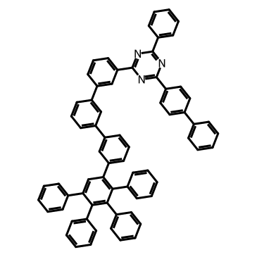 c1ccc(-c2ccc(-c3nc(-c4ccccc4)nc(-c4cccc(-c5cccc(-c6cccc(-c7cc(-c8ccccc8)c(-c8ccccc8)c(-c8ccccc8)c7-c7ccccc7)c6)c5)c4)n3)cc2)cc1